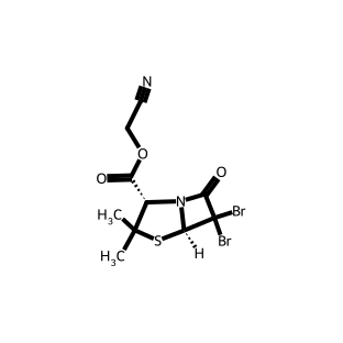 CC1(C)S[C@H]2N(C(=O)C2(Br)Br)[C@H]1C(=O)OCC#N